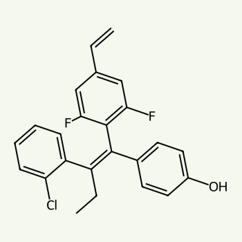 C=Cc1cc(F)c(/C(=C(/CC)c2ccccc2Cl)c2ccc(O)cc2)c(F)c1